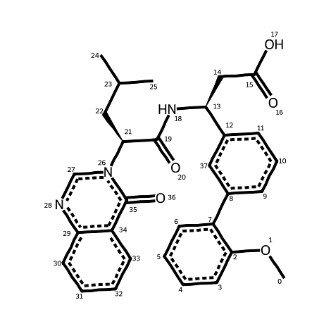 COc1ccccc1-c1cccc([C@H](CC(=O)O)NC(=O)[C@H](CC(C)C)n2cnc3ccccc3c2=O)c1